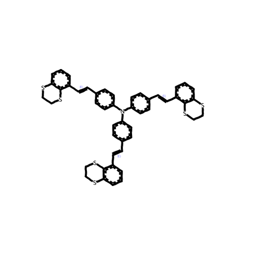 C(=C\c1cccc2c1SCCS2)/c1ccc(N(c2ccc(/C=C/c3cccc4c3SCCS4)cc2)c2ccc(/C=C/c3cccc4c3SCCS4)cc2)cc1